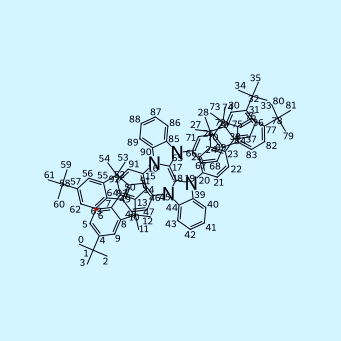 CC(C)(C)c1ccc2c(c1)C(C)(C)c1cc(N3C(=C4N(c5ccc6c(c5)C(C)(C)c5cc(C(C)(C)C)ccc5-6)c5ccccc5N4c4ccc5c(c4)C(C)(C)c4cc(C(C)(C)C)ccc4-5)N(c4ccc5c(c4)C(C)(C)c4cc(C(C)(C)C)ccc4-5)c4ccccc43)ccc1-2